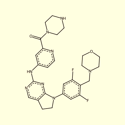 O=C(c1cc(Nc2ncc3c(n2)N(c2cc(F)c(CN4CCOCC4)c(F)c2)CC3)ccn1)N1CCNCC1